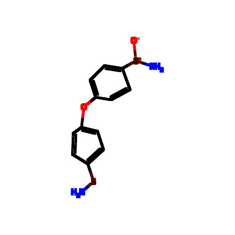 NSc1ccc(Oc2ccc([S+](N)[O-])cc2)cc1